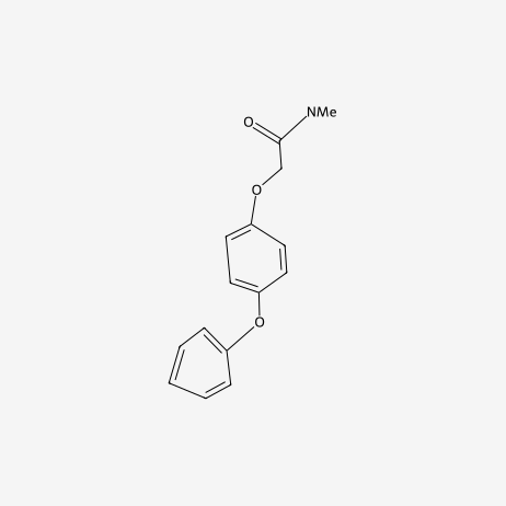 CNC(=O)COc1ccc(Oc2ccccc2)cc1